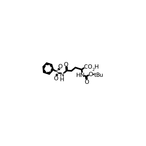 CC(C)(C)OC(=O)NC(CCC(=O)NS(=O)(=O)c1ccccc1)C(=O)O